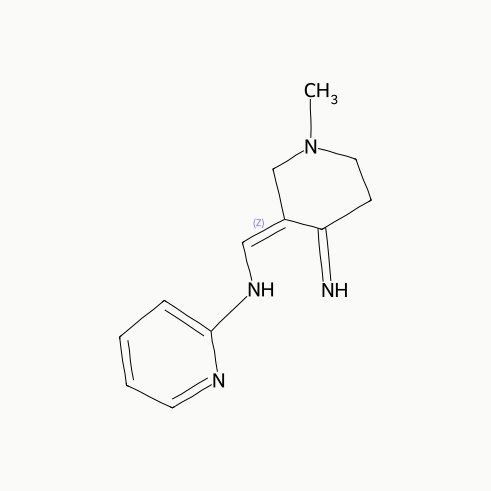 CN1CCC(=N)/C(=C\Nc2ccccn2)C1